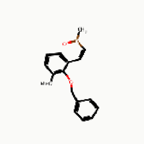 COc1cccc(/C=C\[S+](C)[O-])c1OCc1ccccc1